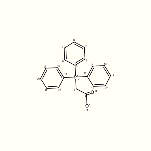 O=C([O-])C[P+](c1ccccc1)(c1ccccc1)c1ccccc1